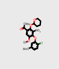 CCOc1cc(C(=O)OC)c(OC2CCCCO2)c([N+](=O)[O-])c1Oc1cc(OC)ccc1Cl